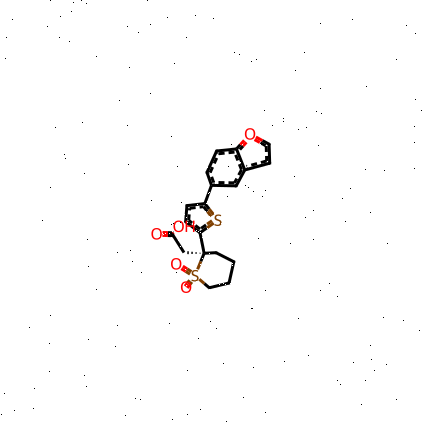 O=C(O)C[C@]1(c2ccc(-c3ccc4occc4c3)s2)CCCCS1(=O)=O